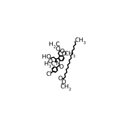 C=COC(=O)CCCCCCCCCCCCCCCCC.C=COC(=O)Cc1c(OC)ccc2c1c(CC(=O)O)c(C)n2C(=O)c1ccc(Cl)cc1